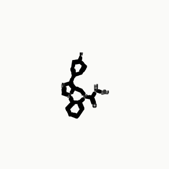 CC(C)(C)NC(=O)N1Cc2c(-c3ccc(F)cc3)ncn2-c2ccccc21